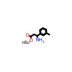 CCCCOC(=O)CC(N)c1cccc(C)c1